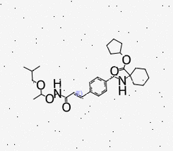 CC(C)COC(C)ONC(=O)/C=C/c1ccc(CNC2(C(=O)OC3CCCC3)CCCCC2)cc1